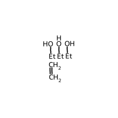 C=C.CCO.CCO.CCO